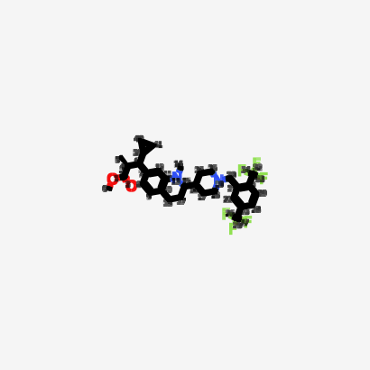 COC(=O)[C@@H](C)C(c1ccc2c(c1)N(C)C(C1CCN(Cc3cc(C(F)(F)F)ccc3C(F)(F)F)CC1)CC2)C1CC1